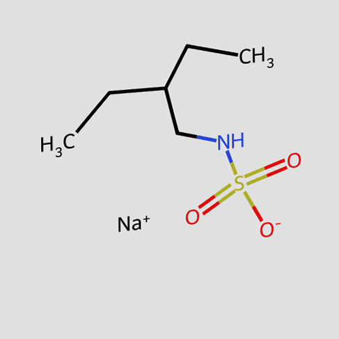 CCC(CC)CNS(=O)(=O)[O-].[Na+]